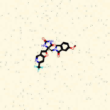 COc1ccc2c(c1)C(=O)N(C[C@@]1(c3cc4cnc(C(F)(F)F)cc4o3)NC(=O)NC1=O)C2